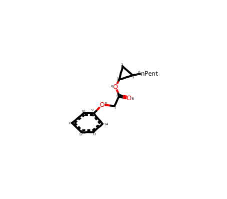 CCCCCC1CC1OC(=O)COc1ccccc1